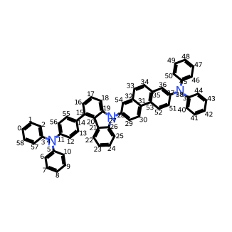 c1ccc(N(c2ccccc2)c2ccc(-c3cccc4c3c3ccccc3n4-c3ccc4c(ccc5cc(N(c6ccccc6)c6ccccc6)ccc54)c3)cc2)cc1